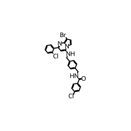 O=C(NCc1ccc(CNc2cc(-c3ccccc3Cl)nc3c(Br)ccn23)cc1)c1ccc(Cl)cc1